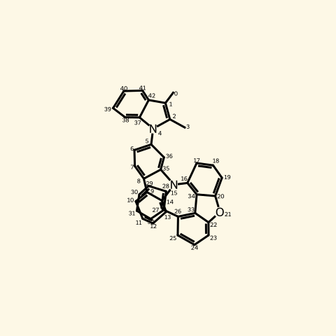 Cc1c(C)n(-c2ccc3c4ccccc4n(-c4cccc5oc6cccc(C7=CC=CCC7)c6c45)c3c2)c2ccccc12